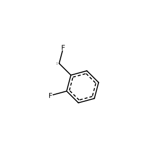 F[C]c1ccccc1F